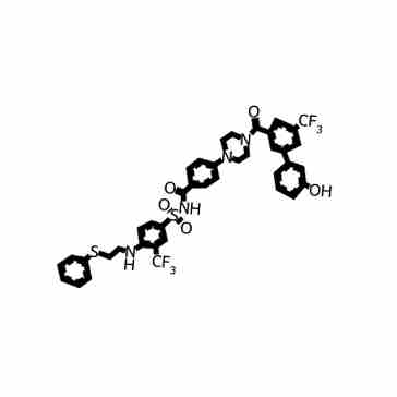 O=C(NS(=O)(=O)c1ccc(NCCSc2ccccc2)c(C(F)(F)F)c1)c1ccc(N2CCN(C(=O)c3cc(-c4cccc(O)c4)cc(C(F)(F)F)c3)CC2)cc1